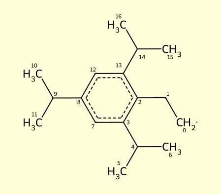 [CH2]Cc1c(C(C)C)cc(C(C)C)cc1C(C)C